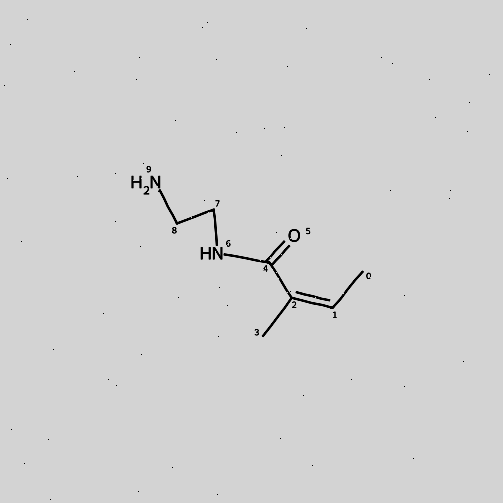 CC=C(C)C(=O)NCCN